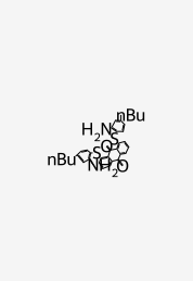 CCCCc1ccc(Sc2cccc3c2C(=O)c2c(Sc4ccc(CCCC)cc4N)cccc2C3=O)c(N)c1